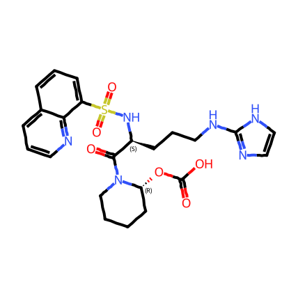 O=C(O)O[C@@H]1CCCCN1C(=O)[C@H](CCCNc1ncc[nH]1)NS(=O)(=O)c1cccc2cccnc12